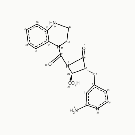 Nc1cc(C[C@H]2C(=O)N(C(=O)N3CCNc4ccccc43)[C@@H]2C(=O)O)ccn1